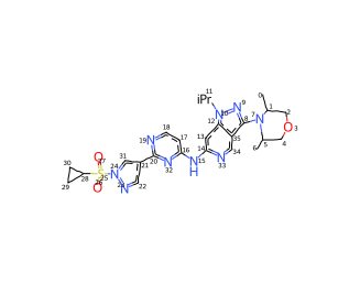 CC1COCC(C)N1c1nn(C(C)C)c2cc(Nc3ccnc(-c4cnn(S(=O)(=O)C5CC5)c4)n3)ncc12